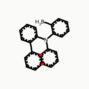 Bc1ccccc1N(c1ccccc1)c1ccccc1-c1ccccc1